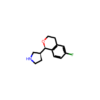 Fc1ccc2c(c1)CCO[C@@H]2[C@H]1CCNC1